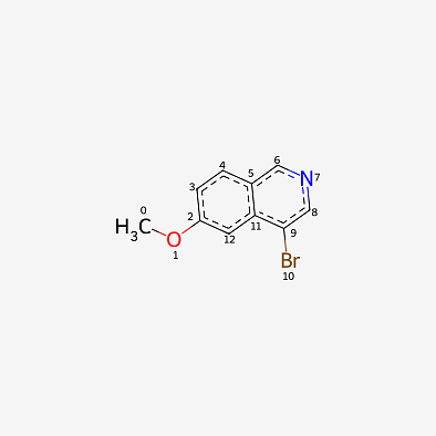 COc1ccc2cncc(Br)c2c1